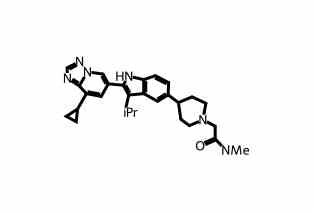 CNC(=O)CN1CCC(c2ccc3[nH]c(-c4cc(C5CC5)c5ncnn5c4)c(C(C)C)c3c2)CC1